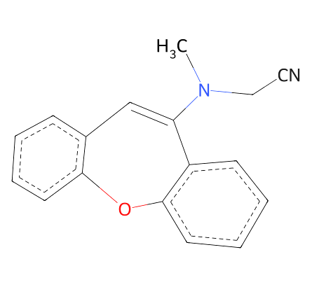 CN(CC#N)C1=Cc2ccccc2Oc2ccccc21